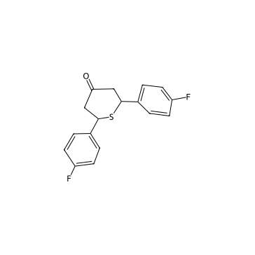 O=C1CC(c2ccc(F)cc2)SC(c2ccc(F)cc2)C1